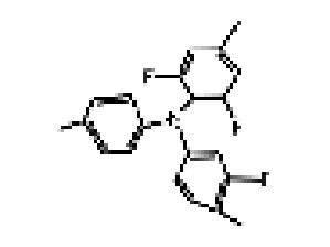 Cc1ccc(N(c2ccc(C)c(F)c2)c2c(F)cc(C)cc2F)cc1